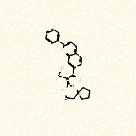 NC(=O)c1c(-c2ccc3ccc(-c4ccccc4)nc3c2)nn2c1NC(=O)CC21CCCC1